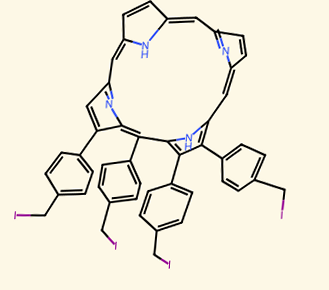 ICc1ccc(C2=Cc3cc4ccc(cc5nc(cc6[nH]c(c(-c7ccc(CI)cc7)c2n3)c(-c2ccc(CI)cc2)c6-c2ccc(CI)cc2)C=C5)[nH]4)cc1